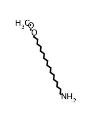 COCOCCCCCCCCCCCCCCCCCN